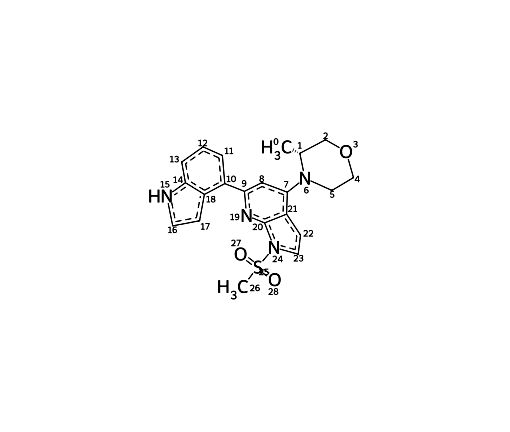 C[C@@H]1COCCN1c1cc(-c2cccc3[nH]ccc23)nc2c1ccn2S(C)(=O)=O